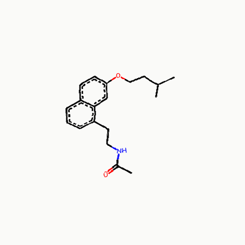 CC(=O)NCCc1cccc2ccc(OCCC(C)C)cc12